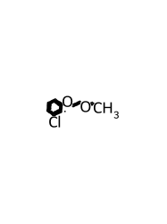 CCOCCOc1[c]c(Cl)ccc1